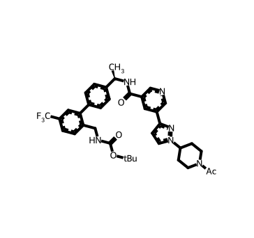 CC(=O)N1CCC(n2ccc(-c3cncc(C(=O)N[C@H](C)c4ccc(-c5cc(C(F)(F)F)ccc5CNC(=O)OC(C)(C)C)cc4)c3)n2)CC1